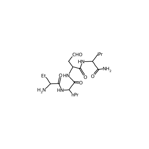 CCCC(NC(=O)C(N)CC)C(=O)NC(CC=O)C(=O)NC(C(N)=O)C(C)C